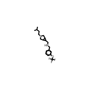 CC(C)CCN1CC2C(CNCc3cccc(OC(F)(F)F)c3)C2C1